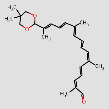 CC(C=O)=CC=CC(C)=CC=CC=C(C)C=CC=C(C)C1OCC(C)(C)CO1